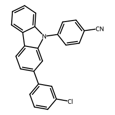 N#Cc1ccc(-n2c3ccccc3c3ccc(-c4cccc(Cl)c4)cc32)cc1